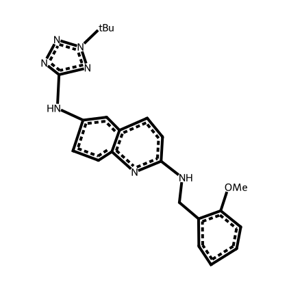 COc1ccccc1CNc1ccc2cc(Nc3nnn(C(C)(C)C)n3)ccc2n1